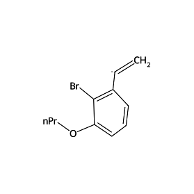 C=[C]c1cccc(OCCC)c1Br